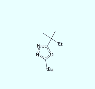 CCC(C)(C)c1nnc(C(C)(C)C)o1